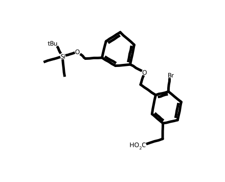 CC(C)(C)[Si](C)(C)OCc1cccc(OCc2cc(CC(=O)O)ccc2Br)c1